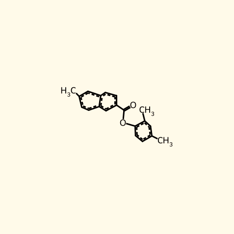 Cc1ccc(OC(=O)c2ccc3cc(C)ccc3c2)c(C)c1